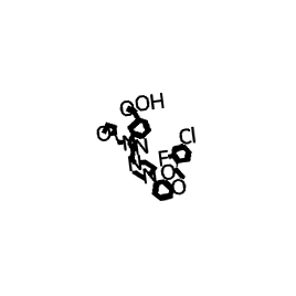 O=C(O)c1ccc2nc(CN3CCN(c4cccc5c4O[C@H](c4ccc(Cl)cc4F)CO5)CC3)n(C[C@@H]3CCO3)c2c1